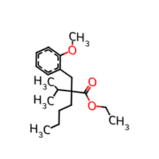 CCCCC(Cc1ccccc1OC)(C(=O)OCC)C(C)C